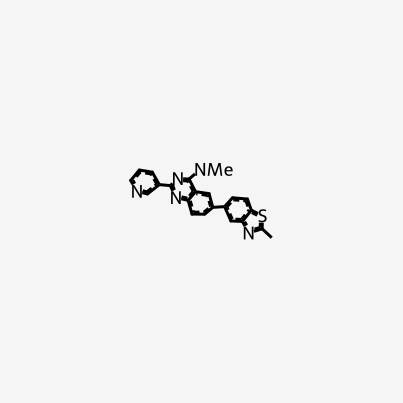 CNc1nc(-c2cccnc2)nc2ccc(-c3ccc4sc(C)nc4c3)cc12